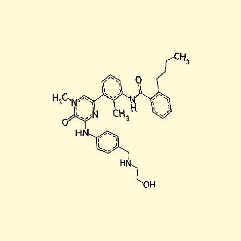 CCCCc1ccccc1C(=O)Nc1cccc(-c2cn(C)c(=O)c(Nc3ccc(CNCCO)cc3)n2)c1C